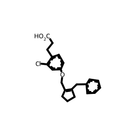 O=C(O)CCc1ccc(OCC2=C(Cc3ccccc3)CCC2)cc1Cl